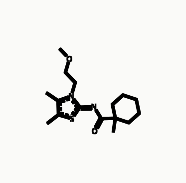 COCCn1c(C)c(C)sc1=NC(=O)C1(C)CCCCC1